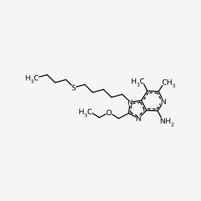 CCCCSCCCCCn1c(COCC)nc2c(N)nc(C)c(C)c21